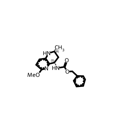 COc1ccc2c(n1)[C@@H](NC(=O)OCc1ccccc1)C[C@@H](C)N2